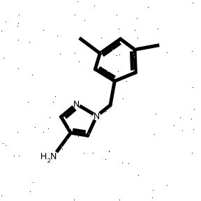 Cc1cc(C)cc(Cn2cc(N)cn2)c1